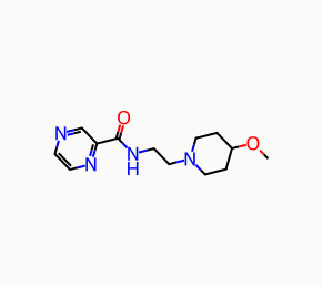 COC1CCN(CCNC(=O)c2cnccn2)CC1